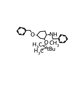 C[C@H](N[C@@H]1CC[C@@H](OCc2ccccc2)CC1O[Si](C)(C)C(C)(C)C)c1ccccc1